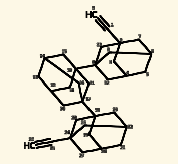 C#CC12CC3CC(C1)CC(C14CC5CC(C1)CC(C16CC7CC(CC(C#C)(C7)C1)C6)(C5)C4)(C3)C2